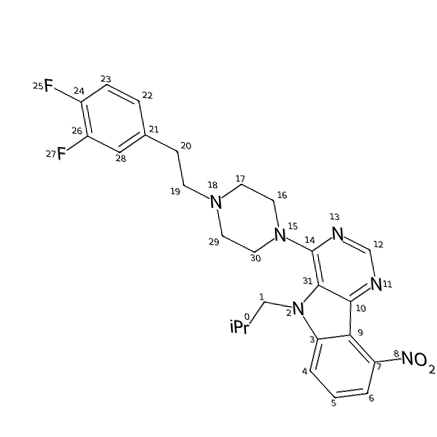 CC(C)Cn1c2cccc([N+](=O)[O-])c2c2ncnc(N3CCN(CCc4ccc(F)c(F)c4)CC3)c21